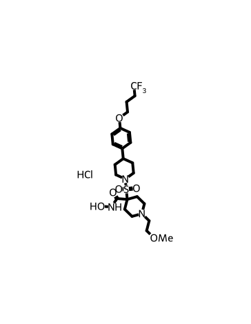 COCCN1CCC(C(=O)NO)(S(=O)(=O)N2CCC(c3ccc(OCCCC(F)(F)F)cc3)CC2)CC1.Cl